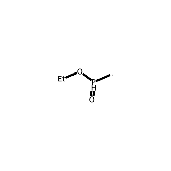 [CH2][PH](=O)OCC